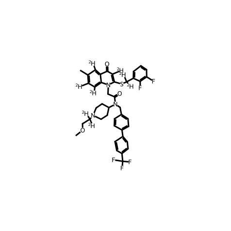 [2H]c1c(C)c([2H])c2c(=O)c([2H])c(SC([2H])([2H])c3cccc(F)c3F)n(CC(=O)N(Cc3ccc(-c4ccc(C(F)(F)F)cc4)cc3)C3CCN(C([2H])([2H])COC)CC3)c2c1[2H]